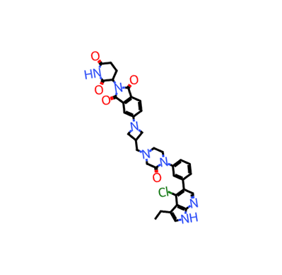 CCc1c[nH]c2ncc(-c3cccc(N4CCN(CC5CN(c6ccc7c(c6)C(=O)N(C6CCC(=O)NC6=O)C7=O)C5)CC4=O)c3)c(Cl)c12